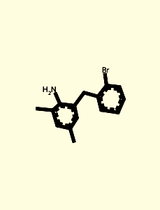 Cc1cc(C)c(N)c(Cc2ccccc2Br)c1